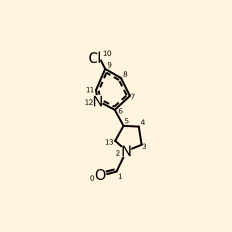 O=CN1CCC(c2ccc(Cl)cn2)C1